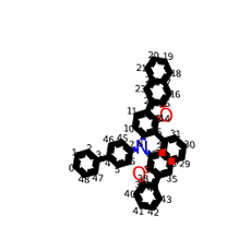 c1ccc(-c2ccc(N(c3ccc4c(oc5cc6ccccc6cc54)c3-c3ccccc3)c3cccc4c3oc3ccccc34)cc2)cc1